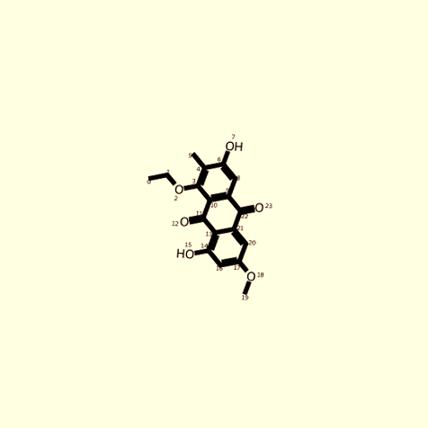 CCOc1c(C)c(O)cc2c1C(=O)c1c(O)cc(OC)cc1C2=O